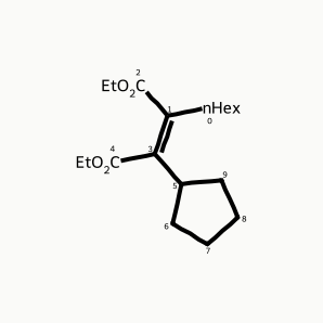 CCCCCC/C(C(=O)OCC)=C(/C(=O)OCC)C1CCCC1